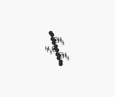 CC1(C)c2cc(-c3ccc4c(c3)C(C)(C(F)(F)F)c3cc(-c5ccc6c(c5)C(C)(C)c5cc(-c7ccc8ccccc8c7)ccc5-6)ccc3-4)ccc2-c2ccc(-c3ccc4ccccc4c3)cc21